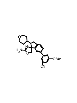 COc1cc(C#N)cc(-c2ccc3c(c2)C2(COC(N)=N2)C(C2CCOCC2)C3)c1